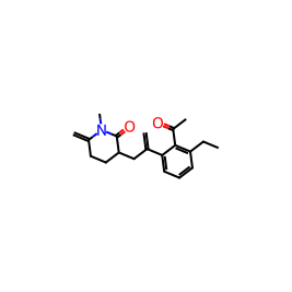 C=C(CC1CCC(=C)N(C)C1=O)c1cccc(CC)c1C(C)=O